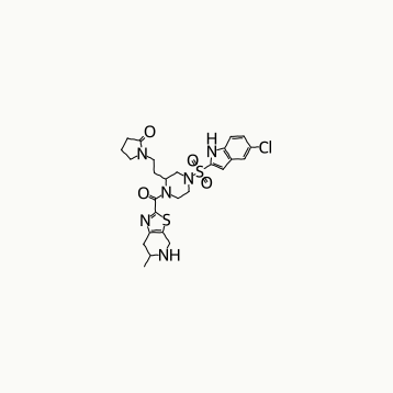 CC1Cc2nc(C(=O)N3CCN(S(=O)(=O)c4cc5cc(Cl)ccc5[nH]4)CC3CCN3CCCC3=O)sc2CN1